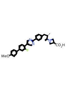 C=C([C@@H](C)Cc1ccc(-c2ncc(-c3ccc(-c4ccc(OC)cc4)cc3F)cn2)cc1)N1CC(C(=O)O)C1